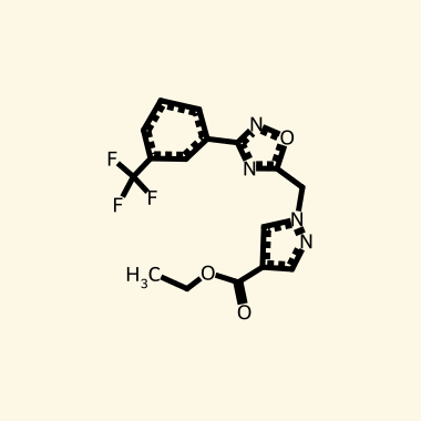 CCOC(=O)c1cnn(Cc2nc(-c3cccc(C(F)(F)F)c3)no2)c1